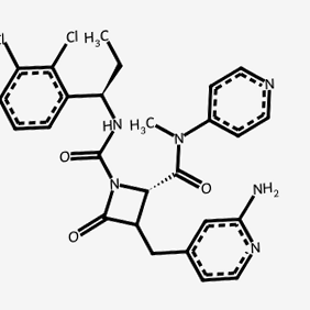 CC[C@@H](NC(=O)N1C(=O)C(Cc2ccnc(N)c2)[C@H]1C(=O)N(C)c1ccncc1)c1cccc(Cl)c1Cl